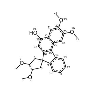 COCCC1(CCOC)c2ccccc2-c2c1cc(O)c1cc(OC)c(OC)cc21